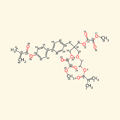 C=C(C)C(=O)OCCOCC(COC(=O)C(=O)OC)(COC(=O)C(=O)OC)Cc1ccc(-c2ccc(OC(=O)C(=C)C)cc2)cc1